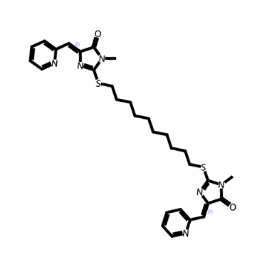 CN1C(=O)/C(=C/c2ccccn2)N=C1SCCCCCCCCCCSC1=N/C(=C\c2ccccn2)C(=O)N1C